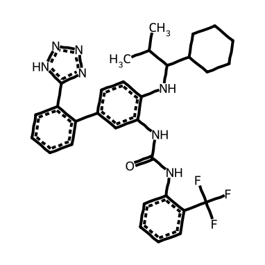 CC(C)C(Nc1ccc(-c2ccccc2-c2nnn[nH]2)cc1NC(=O)Nc1ccccc1C(F)(F)F)C1CCCCC1